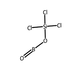 O=BO[Si](Cl)(Cl)Cl